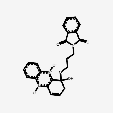 O=C1c2ccccc2C(=O)N1CCCOC1(O)CC=Cc2c1[n+]([O-])c1ccccc1[n+]2[O-]